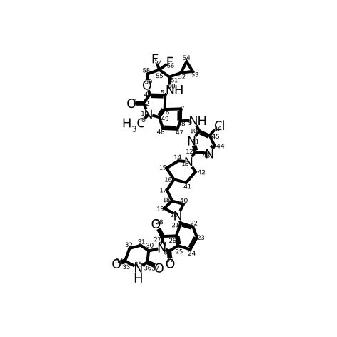 Cn1c(=O)c2c(c3cc(Nc4nc(N5CCC(CC6CN(c7cccc8c7C(=O)N(C7CCC(=O)NC7=O)C8=O)C6)CC5)ncc4Cl)ccc31)NC(C1CC1)C(F)(F)CO2